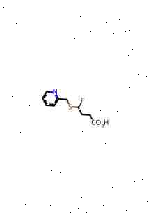 O=C(O)CCC(F)SCc1ccccn1